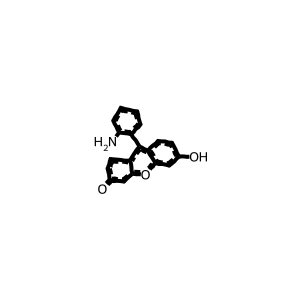 Nc1ccccc1-c1c2ccc(=O)cc-2oc2cc(O)ccc12